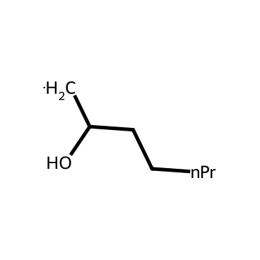 [CH2]CCCCC([CH2])O